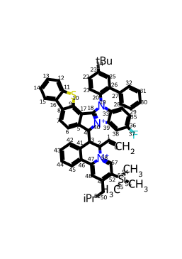 C=CC1C(C2c3ccc4c(sc5ccccc54)c3-c3n(-c4ccc(C(C)(C)C)cc4-c4ccccc4)c4ccc(F)cc4[n+]32)c2ccccc2-c2cc(CC(C)C)c([Si](C)(C)C)c[n+]21